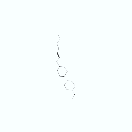 CC[C@H]1CC[C@H](C2CCC(C/C=C/CCCF)CC2)CC1